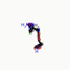 CC(=N)N1C(=N)[C@H](CC(N)=O)N=C(c2ccc(Cl)cc2)c2c1sc(C#Cc1cnn(CCOCCOCCOCC#Cc3cccc4c3CN(C3CCC(=O)NC3=O)C4=O)c1)c2C